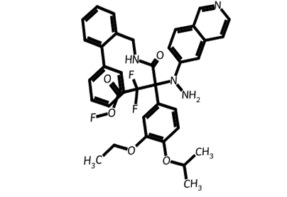 CCOc1cc(C(C(=O)NCc2ccccc2-c2ccccc2)(N(N)c2ccc3cnccc3c2)C(F)(F)C(=O)OF)ccc1OC(C)C